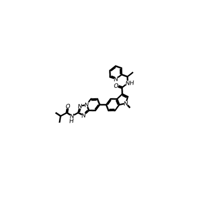 CC(C)C(=O)Nc1nc2cc(-c3ccc4c(c3)c(C(=O)NC(C)c3ccccn3)cn4C)ccn2n1